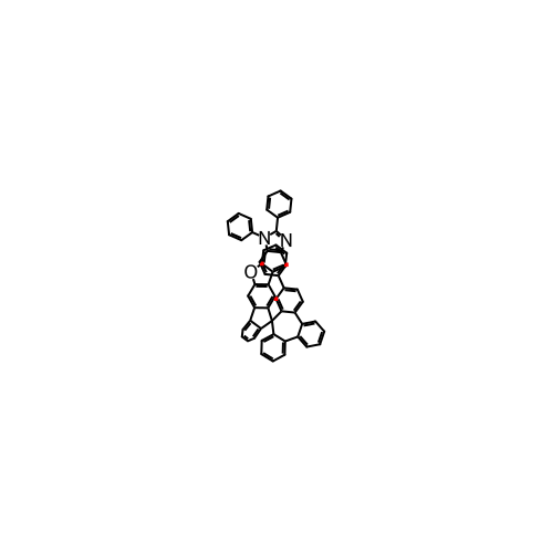 c1ccc(-c2nc3cc(-c4ccc5c(c4)C4(c6ccccc6-c6ccccc6-5)c5ccccc5-c5cc6oc7ccccc7c6cc54)ccc3n2-c2ccccc2)cc1